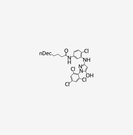 CCCCCCCCCCCCCC(=O)Nc1ccc(Cl)c(Nc2cc(O)n(-c3c(Cl)cc(Cl)cc3Cl)n2)c1